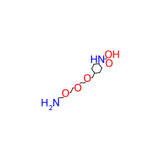 NCCOCCOCCOCC1CCC(NC(=O)O)CC1